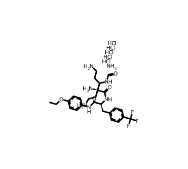 CCOc1ccc(NC(=O)[C@H](Cc2ccc(C(F)(F)F)cc2)NC(=O)[C@](N)(CCN)C(CCN)NC=O)cc1.Cl.Cl.Cl.Cl.Cl.N